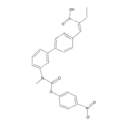 CC/C(=C/c1ccc(-c2cccc(N(C)C(=O)Oc3ccc([N+](=O)[O-])cc3)c2)cc1)C(=O)O